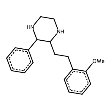 COc1ccccc1CCC1NCCNC1c1ccccc1